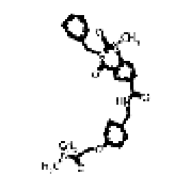 CN(C)C(=O)COc1ccc(CNC(=O)c2ccc3c(c2)c(=O)n(Cc2ccccc2)c(=O)n3C)cc1